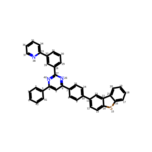 c1ccc(-c2cc(-c3ccc(-c4ccc5sc6ccccc6c5c4)cc3)nc(-c3cccc(-c4ccccn4)c3)n2)cc1